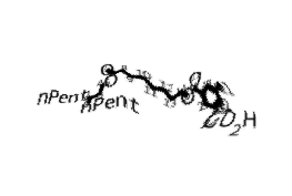 CCCCCC(CCCCC)CCOC(=O)CCCCCCCOC(=O)c1cc(C)cc(C(=O)O)c1